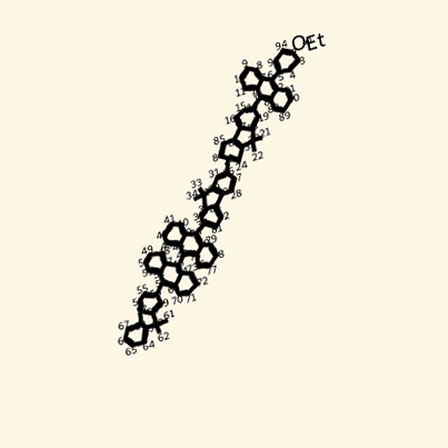 CCOc1ccc(-c2c3ccccc3c(-c3ccc4c(c3)C(C)(C)c3cc(-c5ccc6c(c5)C(C)(C)c5cc(-c7c8ccccc8c(-c8c9ccccc9c(-c9ccc%10c(c9)C(C)(C)c9ccccc9-%10)c9ccccc89)c8ccccc78)ccc5-6)ccc3-4)c3ccccc23)cc1